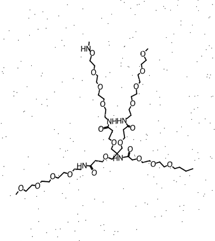 CCCCOCCOCCOCC(=O)NC(COCCC(=O)NCCOCCOCCOCCOC)(COCCC(=O)NCCOCCOCCOCCOC)COCCC(=O)NCCOCCOCCOCCONC